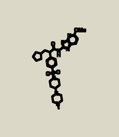 COc1ccc2nc(NC(=O)C(CC3CCCC3)c3ccc(S(=O)(=O)N4CCC(N5CCN(C)CC5)CC4)cc3)sc2n1